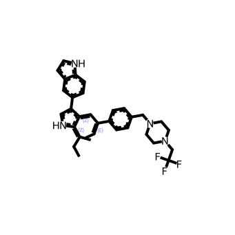 C\C=C(/C=c1/c(-c2ccc3[nH]ccc3c2)c[nH]/c1=C(/C)CC)c1ccc(CN2CCN(CC(F)(F)F)CC2)cc1